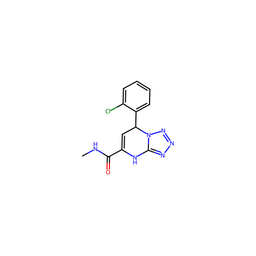 CNC(=O)C1=CC(c2ccccc2Cl)n2nnnc2N1